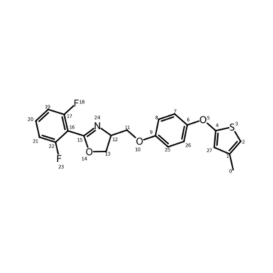 Cc1csc(Oc2ccc(OCC3COC(c4c(F)cccc4F)=N3)cc2)c1